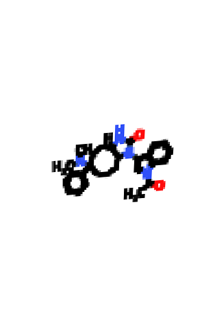 CC(=O)n1cc(N2C(=O)N[C@H]3CC[C@](c4ccccc4)(N(C)C)CCCC32)c2ccccc21